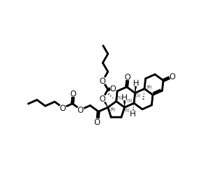 CCCCOC(=O)OCC(=O)[C@@]1(OC(=O)OCCCC)CC[C@H]2[C@@H]3CCC4=CC(=O)CC[C@]4(C)[C@H]3C(=O)C[C@@]21C